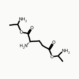 CC(N)OC(=O)CC[C@H](N)C(=O)OC(C)N